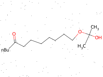 CCCCC(=O)CCCCCCCOC(C)(C)O